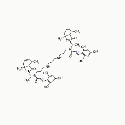 CC1C=CCC(C)(C)C1C(=O)CC(C)N(CCCNCCCNCCCN(C(=O)/C=C/c1c(O)cc(O)cc1O)C(C)CC(=O)C1C(C)C=CCC1(C)C)C(=O)/C=C/c1c(O)cc(O)cc1O